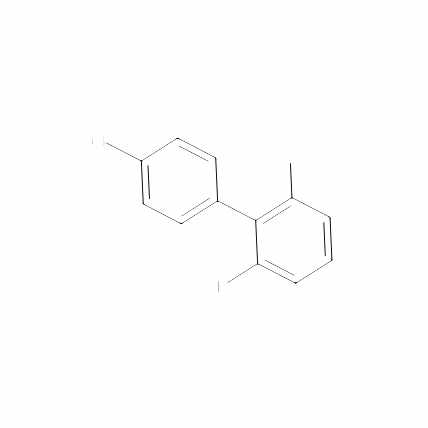 Fc1[c]ccc(F)c1-c1ccc(Cl)cc1